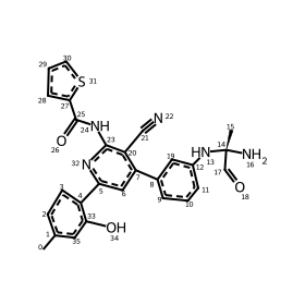 Cc1ccc(-c2cc(-c3cccc(N[C@](C)(N)C=O)c3)c(C#N)c(NC(=O)c3cccs3)n2)c(O)c1